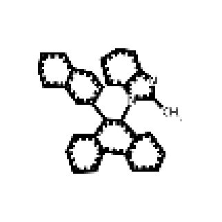 Cc1nc2ccccc2n1-c1c(-c2ccc3ccccc3c2)c2ccccc2c2ccccc12